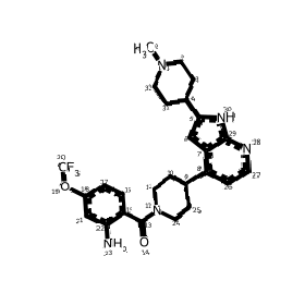 CN1CCC(c2cc3c(C4CCN(C(=O)c5ccc(OC(F)(F)F)cc5N)CC4)ccnc3[nH]2)CC1